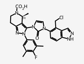 Cc1cc(-n2nc3c(c2-n2ccn(-c4ccc5[nH]ncc5c4CCl)c2=O)[C@H](C)N(C(=O)O)CC3)cc(C)c1F